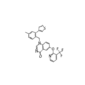 Cc1ccc(Cn2cnc(=O)c3cc(Oc4ncccc4C(F)(F)F)ccc32)c(-c2ccsc2)c1